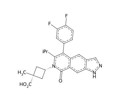 CC(C)c1c(-c2ccc(F)c(F)c2)c2cc3cn[nH]c3cc2c(=O)n1[C@H]1C[C@@](C)(C(=O)O)C1